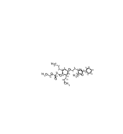 CCCc1cc(OCCc2nc(-c3ccccc3)oc2C)cc(CCC)c1OCC(=O)OCC